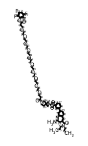 CCCN(CCC)C(=O)C1=Cc2ccc(-c3cccc(S(=O)(=O)N4CC5(CCN(C(=O)CCOCCOCCOCCOCCOCCOCCOCCOCCOCCOCCC(=O)Oc6c(F)c(F)cc(F)c6F)C5)C4)c3)cc2N=C(N)C1